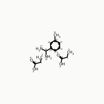 CCC(=O)O.CCC(=O)O.Cc1cccc(C(N)N)c1